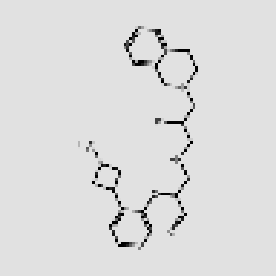 CN1CC(c2ccccc2OC(C=O)CNCC(O)CN2CCc3ccccc3C2)C1